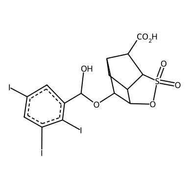 O=C(O)C1C2CC3C(OS(=O)(=O)C31)C2OC(O)c1cc(I)cc(I)c1I